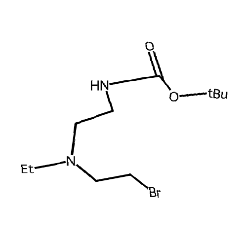 CCN(CCBr)CCNC(=O)OC(C)(C)C